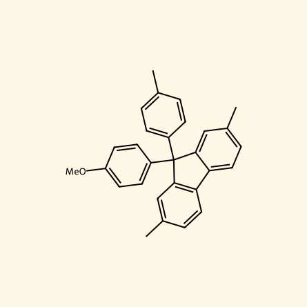 COc1ccc(C2(c3ccc(C)cc3)c3cc(C)ccc3-c3ccc(C)cc32)cc1